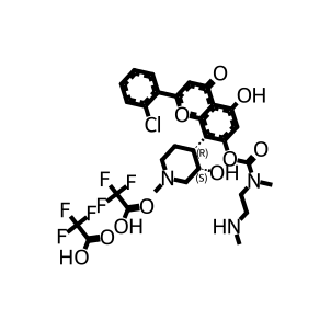 CNCCN(C)C(=O)Oc1cc(O)c2c(=O)cc(-c3ccccc3Cl)oc2c1[C@H]1CCN(C)C[C@H]1O.O=C(O)C(F)(F)F.O=C(O)C(F)(F)F